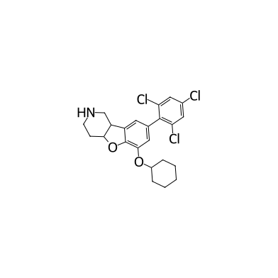 Clc1cc(Cl)c(-c2cc(OC3CCCCC3)c3c(c2)C2CNCCC2O3)c(Cl)c1